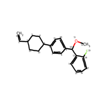 C=CC1CCC(c2ccc(C(OC)c3ccccc3F)cc2)CC1